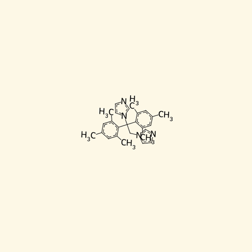 Cc1cc(C)c(C(Cn2ccnc2)(c2c(C)cc(C)cc2C)n2ccnc2)c(C)c1